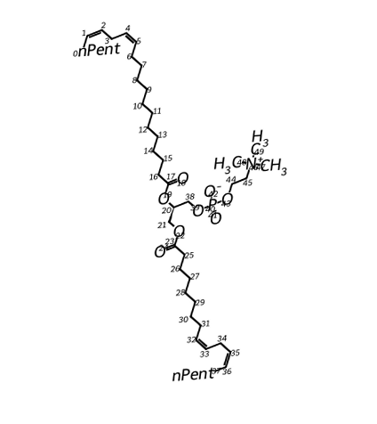 CCCCC/C=C\C/C=C\CCCCCCCCCCCC(=O)O[C@H](COC(=O)CCCCCCC/C=C\C/C=C\CCCCC)COP(=O)([O-])OCC[N+](C)(C)C